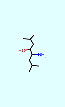 CC(C)CC(N)C(O)CC(C)C